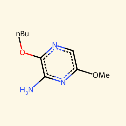 CCCCOc1ncc(OC)nc1N